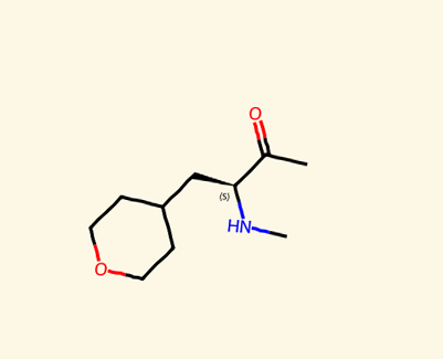 CN[C@@H](CC1CCOCC1)C(C)=O